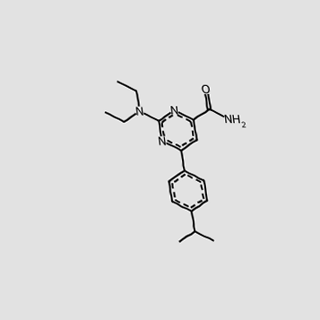 CCN(CC)c1nc(C(N)=O)cc(-c2ccc(C(C)C)cc2)n1